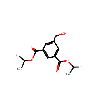 CCCCC(CC)OC(=O)c1cc(CO)cc(C(=O)OC(CC)CCCC)c1